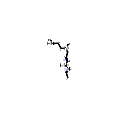 C/C=N/N/C=C/CN(C)CCNC